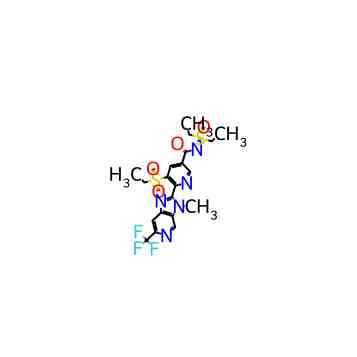 CCS(=O)(=O)c1cc(C(=O)N=S(=O)(CC)CC)cnc1-c1nc2cc(C(F)(F)F)ncc2n1C